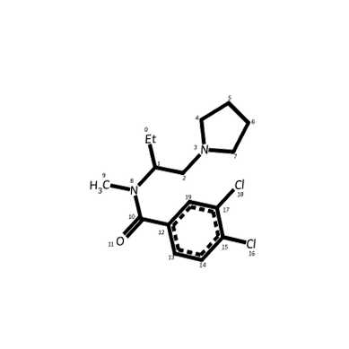 CCC(CN1CCCC1)N(C)C(=O)c1ccc(Cl)c(Cl)c1